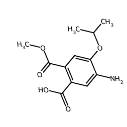 COC(=O)c1cc(OC(C)C)c(N)cc1C(=O)O